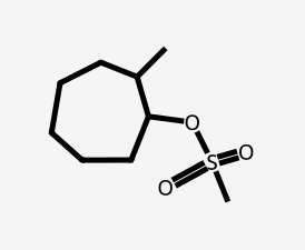 CC1CCCCCC1OS(C)(=O)=O